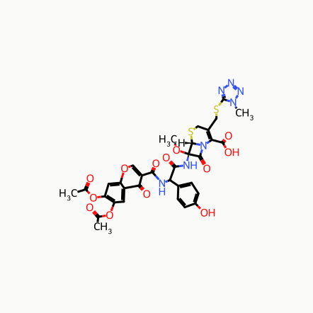 CO[C@@]1(NC(=O)C(NC(=O)c2coc3cc(OC(C)=O)c(OC(C)=O)cc3c2=O)c2ccc(O)cc2)C(=O)N2C(C(=O)O)=C(CSc3nnnn3C)CS[C@H]21